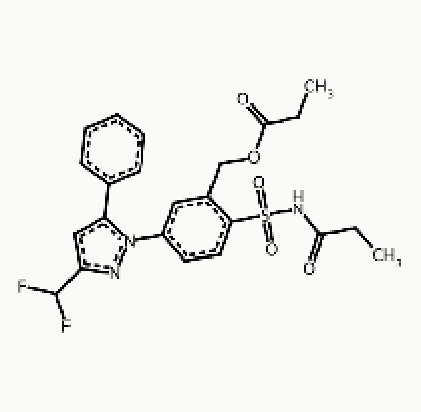 CCC(=O)NS(=O)(=O)c1ccc(-n2nc(C(F)F)cc2-c2ccccc2)cc1COC(=O)CC